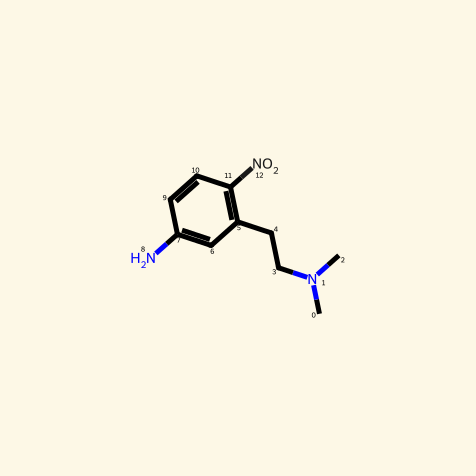 CN(C)CCc1cc(N)ccc1[N+](=O)[O-]